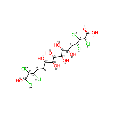 O=C(O)C(Cl)C(Cl)C(Cl)CC(O)C(O)C(O)C(O)C(O)C(O)CCC(Cl)C(Cl)C(O)Cl